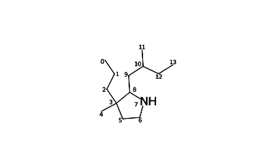 CCCC1(C)CCNC1CC(C)CC